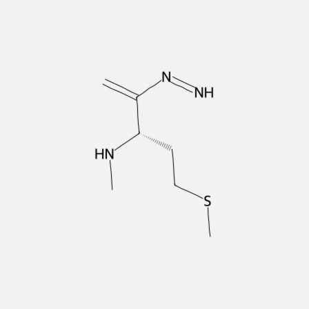 C=C(N=N)[C@H](CCSC)NC